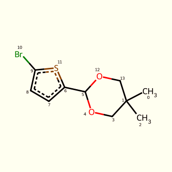 CC1(C)COC(c2ccc(Br)s2)OC1